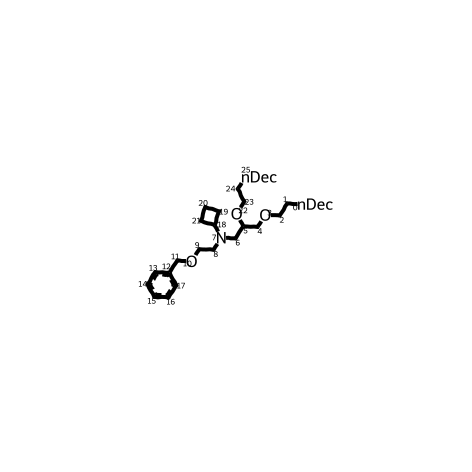 CCCCCCCCCCCCOCC(CN(CCOCc1ccccc1)C1CCC1)OCCCCCCCCCCCC